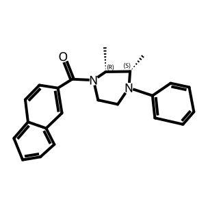 C[C@@H]1[C@H](C)N(c2ccccc2)CCN1C(=O)c1ccc2ccccc2c1